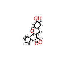 O=C(C(=Cc1ccc(O)cc1)C1=COOC1)c1ccccc1